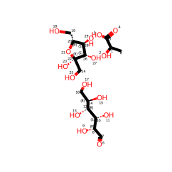 CC(O)C(=O)O.O=C[C@H](O)[C@@H](O)[C@H](O)[C@H](O)CO.OC[C@H]1O[C@](O)(CO)[C@@H](O)[C@@H]1O